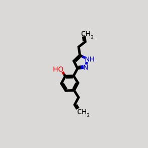 C=CCc1ccc(O)c(-c2cc(CC=C)[nH]n2)c1